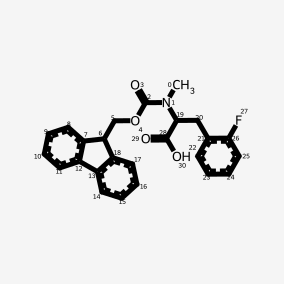 CN(C(=O)OCC1c2ccccc2-c2ccccc21)C(Cc1ccccc1F)C(=O)O